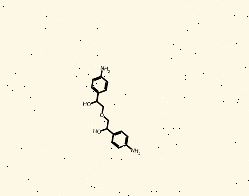 Nc1ccc(C(O)COCC(O)c2ccc(N)cc2)cc1